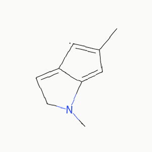 CC1=[C]C2=CCN(C)C2=C1